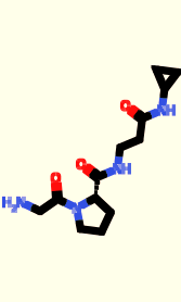 NCC(=O)N1CCC[C@H]1C(=O)NCCC(=O)NC1CC1